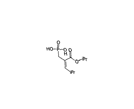 CC(C)C=C(CP(=O)(O)O)C(=O)OC(C)C